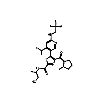 CC(CO)NC(=O)c1nc(C(=O)N2CCCC2C)c(-c2cnc(NCC(F)(F)F)cc2C(F)F)s1